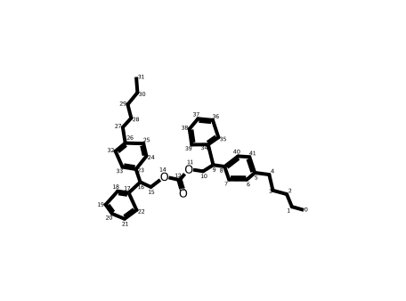 CCCCCc1ccc(C(COC(=O)OCC(c2ccccc2)c2ccc(CCCCC)cc2)c2ccccc2)cc1